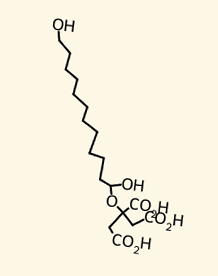 O=C(O)CC(CC(=O)O)(OC(O)CCCCCCCCCCCO)C(=O)O